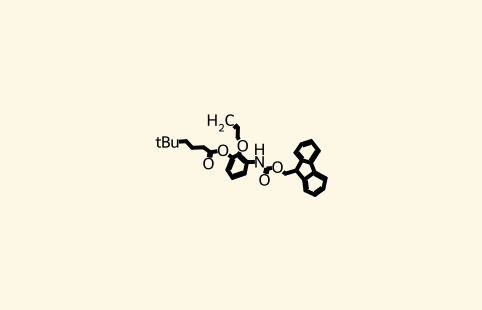 C=CCOc1c(NC(=O)OCC2c3ccccc3-c3ccccc32)cccc1OC(=O)CCCC(C)(C)C